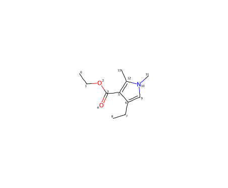 CCOC(=O)c1c(CC)cn(C)c1C